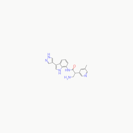 Cc1cncc(C(CN)C(=O)Nc2cccc3c(-c4cn[nH]c4)c[nH]c23)c1